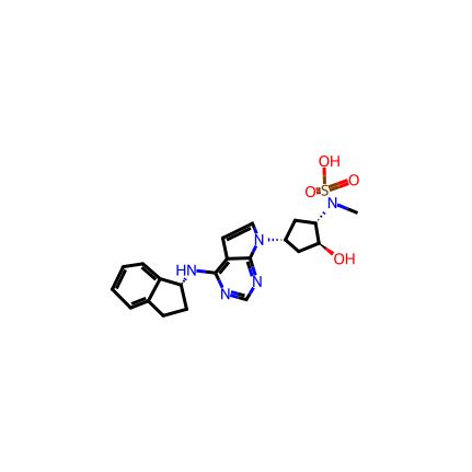 CN([C@H]1C[C@@H](n2ccc3c(N[C@@H]4CCc5ccccc54)ncnc32)C[C@@H]1O)S(=O)(=O)O